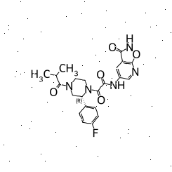 CC(C)C(=O)N1CCN(C(=O)C(=O)Nc2cnc3o[nH]c(=O)c3c2)[C@H](c2ccc(F)cc2)C1